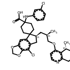 C[C@@H](COc1ccnc2c1[C@H](C)CCC2)C[C@H]1Cc2c(cc3c(c2Cl)OCO3)C12CCC(Nc1cccc(Cl)c1)(C(=O)O)CC2